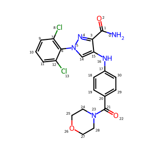 NC(=O)c1nn(-c2c(Cl)cccc2Cl)cc1Nc1ccc(C(=O)N2CCOCC2)cc1